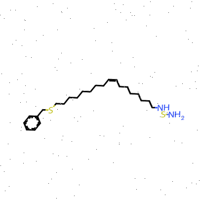 NSNCCCCCCC/C=C\CCCCCCCCSCc1ccccc1